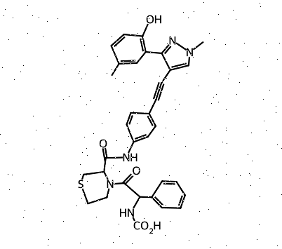 Cc1ccc(O)c(-c2nn(C)cc2C#Cc2ccc(NC(=O)C3CSCCN3C(=O)C(NC(=O)O)c3ccccc3)cc2)c1